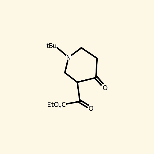 CCOC(=O)C(=O)C1CN(C(C)(C)C)CCC1=O